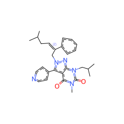 CC(C)C/C=C(\Cn1nc2c(c1-c1ccncc1)c(=O)n(C)c(=O)n2CC(C)C)c1ccccc1